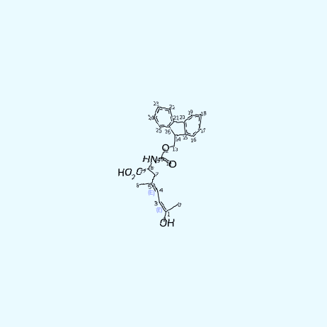 C/C(O)=C\C=C(/C)CC(NC(=O)OCC1c2ccccc2-c2ccccc21)C(=O)O